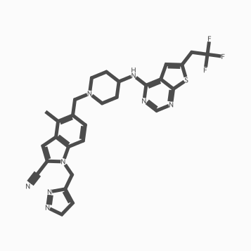 Cc1c(CN2CCC(Nc3ncnc4sc(CC(F)(F)F)cc34)CC2)ccc2c1cc(C#N)n2CC1=CCN=N1